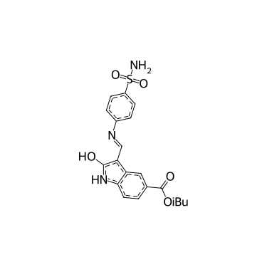 CC(C)COC(=O)c1ccc2[nH]c(O)c(/C=N/c3ccc(S(N)(=O)=O)cc3)c2c1